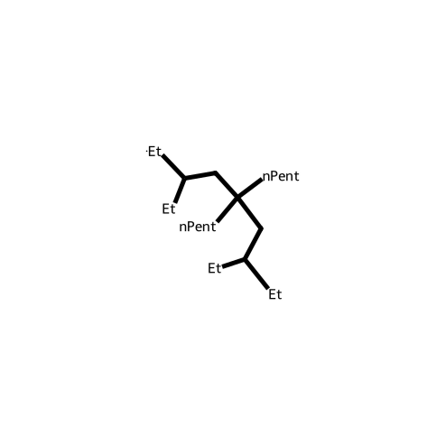 C[CH]C(CC)CC(CCCCC)(CCCCC)CC(CC)CC